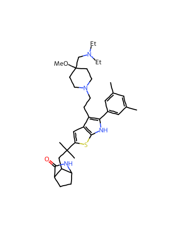 CCN(CC)CC1(OC)CCN(CCc2c(-c3cc(C)cc(C)c3)[nH]c3sc(C(C)(C)CC4C5CCC4C(=O)N5)cc23)CC1